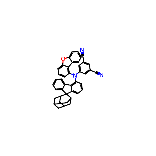 N#Cc1cc(C#N)cc(N(c2cccc3c2-c2ccccc2C32C3CC4CC(C3)CC2C4)c2cccc3oc4ccccc4c23)c1